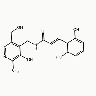 Cc1ncc(CO)c(CNC(=O)C=Cc2c(O)cccc2O)c1O